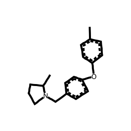 Cc1ccc(Oc2ccc(CN3CCCC3C)cc2)cc1